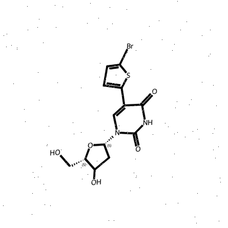 O=c1[nH]c(=O)n([C@@H]2CC(O)[C@H](CO)O2)cc1-c1ccc(Br)s1